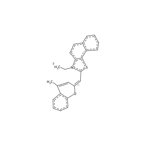 CC[n+]1c(/C=C2\C=C(C)c3ccccc3O2)sc2c3ccccc3ccc21.[I-]